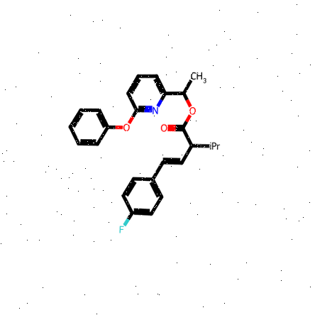 CC(OC(=O)C(/C=C/c1ccc(F)cc1)C(C)C)c1cccc(Oc2ccccc2)n1